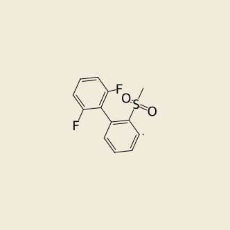 CS(=O)(=O)c1[c]cccc1-c1c(F)cccc1F